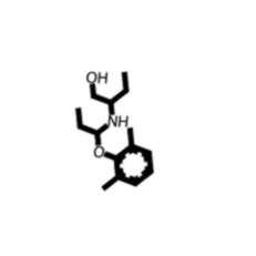 CCC(CO)NC(CC)Oc1c(C)cccc1C